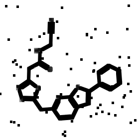 N#CCNC(=O)Cc1nnc(Cc2ccc3cc(-c4ccccc4)sc3n2)o1